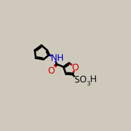 O=C(Nc1ccccc1)c1coc(S(=O)(=O)O)c1